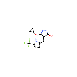 O=C1NN=C(OC2CC2)C1=Cc1ccc(C(F)(F)F)[nH]1